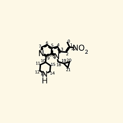 C/C(=C\c1cc2ccnc(C3CCNCC3)c2n1CC1CC1)[N+](=O)[O-]